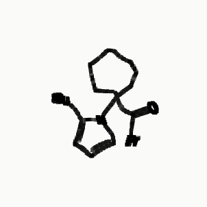 CC(C)C(=O)C1(n2cccc2C(C)(C)C)CCCCC1